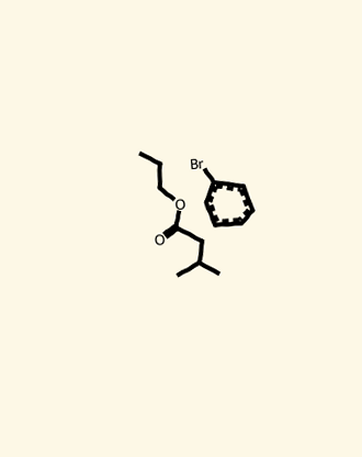 Brc1ccccc1.CCCOC(=O)CC(C)C